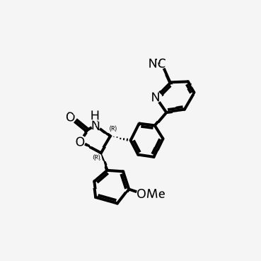 COc1cccc([C@H]2OC(=O)N[C@@H]2c2cccc(-c3cccc(C#N)n3)c2)c1